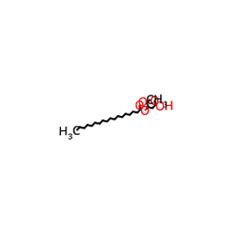 CCCCCCCCCCCCCCCCCC(=O)OC(CC(=O)O)C(C)=O